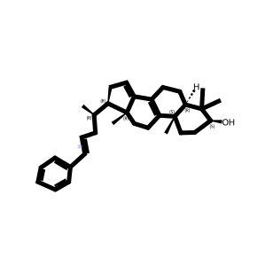 C[C@H](C/C=C/c1ccccc1)[C@H]1CC=C2C3=C(CC[C@@]21C)[C@@]1(C)CC[C@H](O)C(C)(C)[C@@H]1CC3